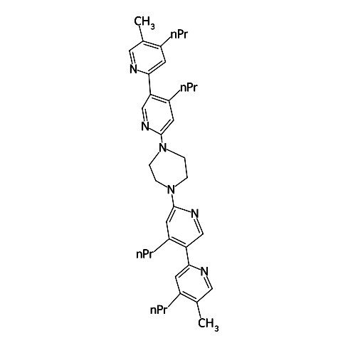 CCCc1cc(-c2cnc(N3CCN(c4cc(CCC)c(-c5cc(CCC)c(C)cn5)cn4)CC3)cc2CCC)ncc1C